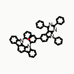 c1ccc(-c2nc(-c3ccccc3)c3c4cc(-c5cccc(-n6c7ccccc7c7ccc8c9ccccc9n(-c9ccccc9)c8c76)c5)ccc4n(-c4ccccc4)c3n2)cc1